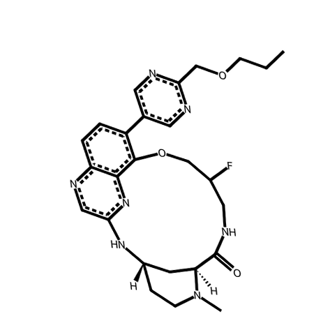 CCCOCc1ncc(-c2ccc3ncc4nc3c2OCC(F)CNC(=O)[C@@H]2C[C@H](CCN2C)N4)cn1